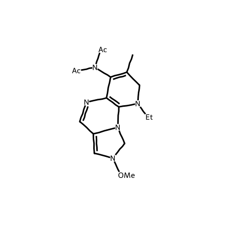 CCN1CC(C)=C(N(C(C)=O)C(C)=O)C2=C1N1CN(OC)C=C1C=N2